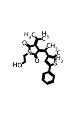 CC(C)=C1C(=O)N(CCO)C(=O)C1=C(C)c1cc(-c2ccccc2)sc1C